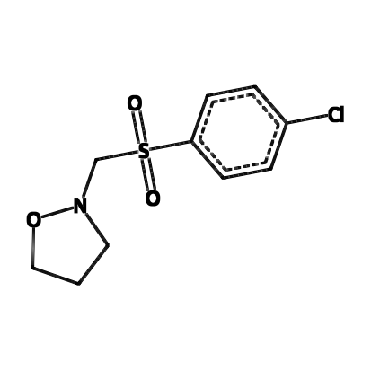 O=S(=O)(CN1CCCO1)c1ccc(Cl)cc1